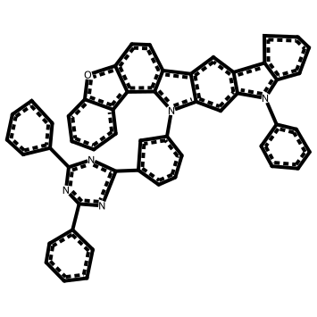 c1ccc(-c2nc(-c3ccccc3)nc(-c3cccc(-n4c5cc6c(cc5c5ccc7oc8ccccc8c7c54)c4ccccc4n6-c4ccccc4)c3)n2)cc1